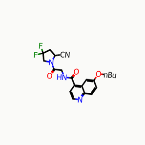 CCCCOc1ccc2nccc(C(=O)NCC(=O)N3CC(F)(F)CC3C#N)c2c1